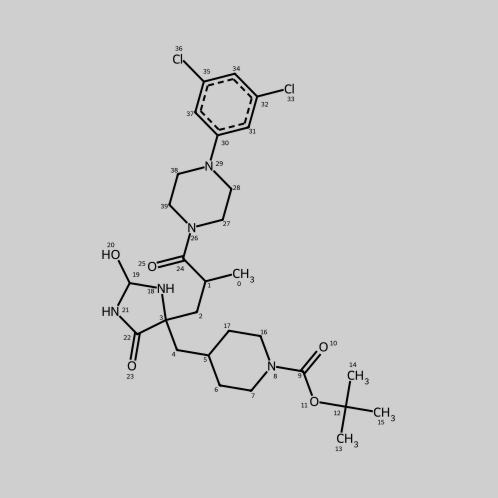 CC(CC1(CC2CCN(C(=O)OC(C)(C)C)CC2)NC(O)NC1=O)C(=O)N1CCN(c2cc(Cl)cc(Cl)c2)CC1